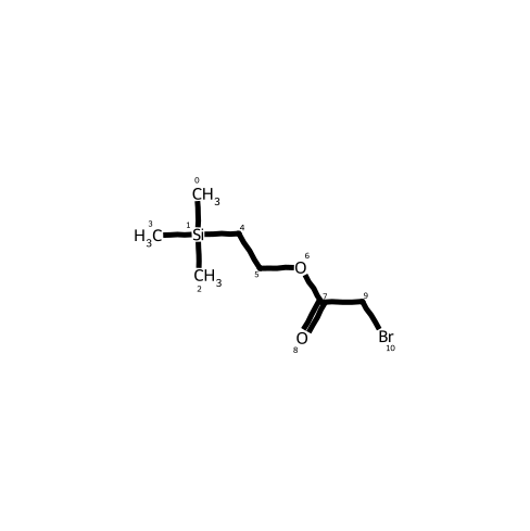 C[Si](C)(C)CCOC(=O)CBr